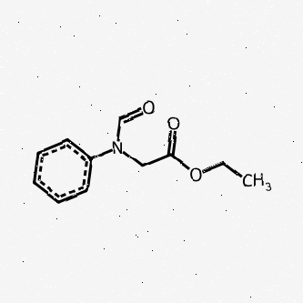 CCOC(=O)CN(C=O)c1ccccc1